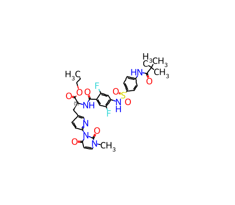 CCCOC(=O)[C@H](Cc1ccc(-n2c(=O)ccn(C)c2=O)nc1)NC(=O)c1cc(F)c(NS(=O)(=O)c2ccc(NC(=O)C(C)(C)C)cc2)cc1F